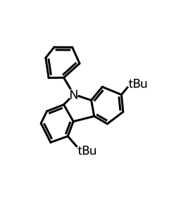 CC(C)(C)c1ccc2c3c(C(C)(C)C)cccc3n(-c3ccccc3)c2c1